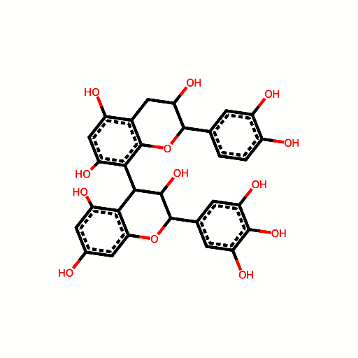 Oc1cc(O)c2c(c1)OC(c1cc(O)c(O)c(O)c1)C(O)C2c1c(O)cc(O)c2c1OC(c1ccc(O)c(O)c1)C(O)C2